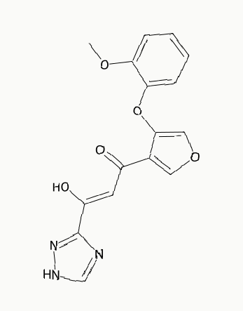 COc1ccccc1Oc1cocc1C(=O)C=C(O)c1nc[nH]n1